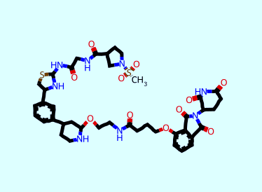 CS(=O)(=O)N1CCC(C(=O)NCC(=O)NC2NC(c3cccc(C4CCNC(OCCNC(=O)CCCOc5cccc6c5C(=O)N(C5CCC(=O)NC5=O)C6=O)C4)c3)CS2)C1